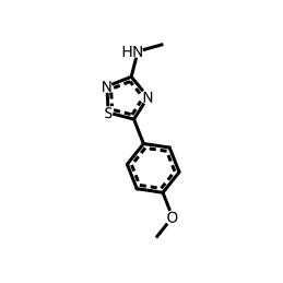 CNc1nsc(-c2ccc(OC)cc2)n1